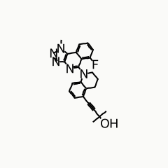 Cn1nnc2nc(N3CCCc4c(C#CC(C)(C)O)cccc43)c3c(F)cccc3c21